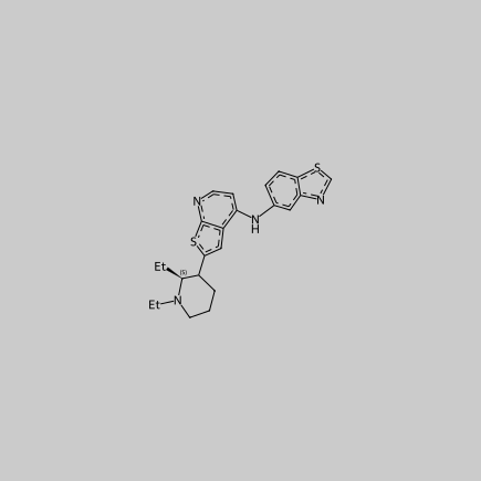 CC[C@H]1C(c2cc3c(Nc4ccc5scnc5c4)ccnc3s2)CCCN1CC